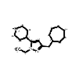 CCn1nc(CC2CCCCCC2)cc1C1CCNCC1